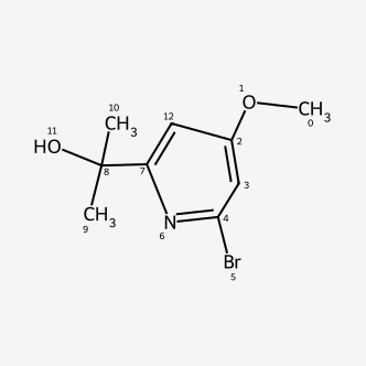 COc1cc(Br)nc(C(C)(C)O)c1